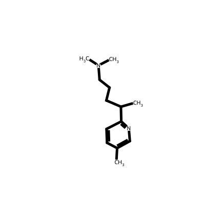 Cc1ccc(C(C)CCCN(C)C)nc1